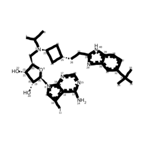 CC(C)N(C[C@H]1O[C@@H](n2cc(I)c3c(N)ncnc32)[C@H](O)[C@@H]1O)[C@H]1C[C@@H](CCc2nc3cc(C(C)(C)C)ccc3[nH]2)C1